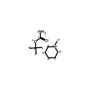 CC(C)(C)OC(N)=O.IN1CCCCC1